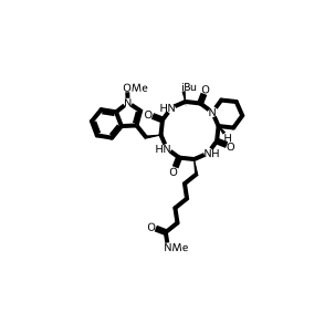 CCC(C)[C@@H]1NC(=O)[C@H](Cc2cn(OC)c3ccccc23)NC(=O)[C@H](CCCCCC(=O)NC)NC(=O)[C@H]2CCCCN2C1=O